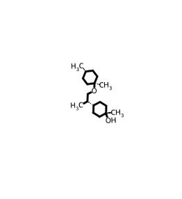 CC(CO[C@]1(C)CC[C@@H](C)CC1)[C@H]1CC[C@@](C)(O)CC1